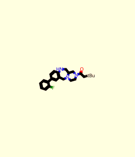 CC(C)(C)CC(=O)N1CCN2Cc3cc(-c4ccccc4F)ccc3NCC2C1